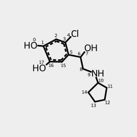 Oc1cc(Cl)c(C(O)CNC2CCCC2)cc1O